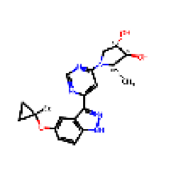 CCC1(Oc2ccc3[nH]nc(-c4cc(N5C[C@H](O)[C@@H](O)[C@@H]5C)ncn4)c3c2)CC1